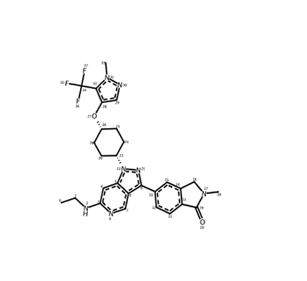 CCNc1cc2c(cn1)c(-c1ccc3c(c1)CN(C)C3=O)nn2[C@H]1CC[C@@H](Oc2cnn(C)c2C(F)(F)F)CC1